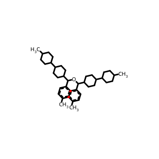 Cc1ccc(C(OC(c2ccc(C)cc2)C2CCC(C3CCC(C)CC3)CC2)C2CCC(C3CCC(C)CC3)CC2)cc1